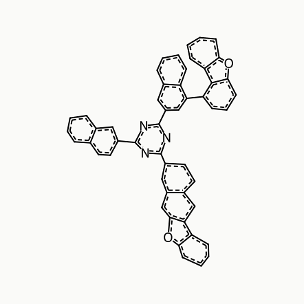 c1ccc2cc(-c3nc(-c4ccc5cc6c(cc5c4)oc4ccccc46)nc(-c4cc(-c5cccc6oc7ccccc7c56)c5ccccc5c4)n3)ccc2c1